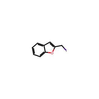 ICc1cc2ccccc2o1